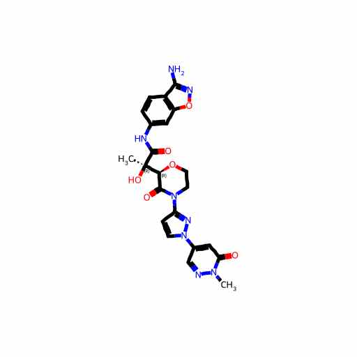 Cn1ncc(-n2ccc(N3CCO[C@H]([C@@](C)(O)C(=O)Nc4ccc5c(N)noc5c4)C3=O)n2)cc1=O